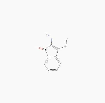 CC(C)CC1=C(NC=O)C(=O)c2ccccc21